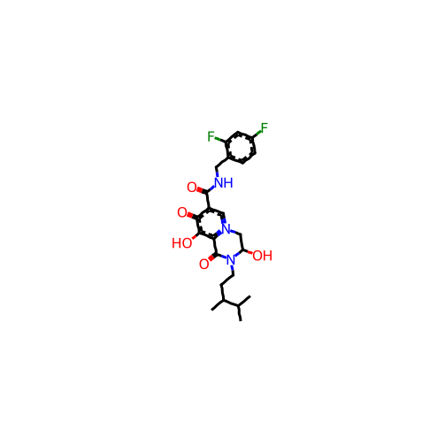 CC(C)C(C)CCN1C(=O)c2c(O)c(=O)c(C(=O)NCc3ccc(F)cc3F)cn2CC1O